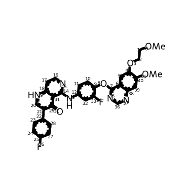 COCCOc1cc2c(Oc3ccc(Nc4nccc5[nH]cc(-c6ccc(F)cc6)c(=O)c45)cc3F)ncnc2cc1OC